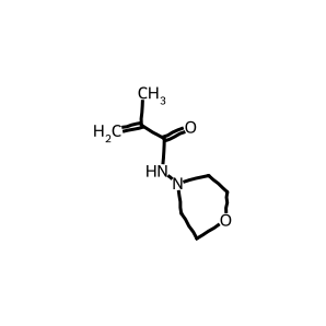 C=C(C)C(=O)NN1CCOCC1